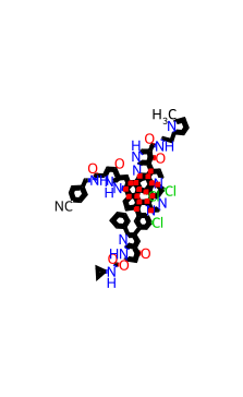 Cc1cccc(CCNC(=O)c2c[nH]c3nc(-c4cccc(-c5cnc6c(Cl)cc(-c7cc8c(=O)cc(OC(=O)NC9CC9)[nH]c8nc7-c7ccccc7)cc6c5)c4)c(-c4cc(Cl)c5nccc(-c6cccc(-c7nc8[nH]c(C(=O)NCc9ccc(C#N)cc9)cc(=O)c8cc7-c7cc(Cl)c8ncccc8c7)c6)c5c4)cc3c2=O)n1